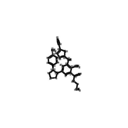 CCOC(=O)c1nc(N2CCC[C@H]2c2ccc(C)cc2)nc(Nc2ncc(C#N)s2)c1C